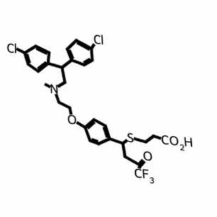 CN(CCOc1ccc(C(CC(=O)C(F)(F)F)SCCC(=O)O)cc1)CC(c1ccc(Cl)cc1)c1ccc(Cl)cc1